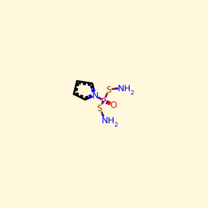 NSP(=O)(SN)n1cccc1